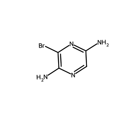 Nc1cnc(N)c(Br)n1